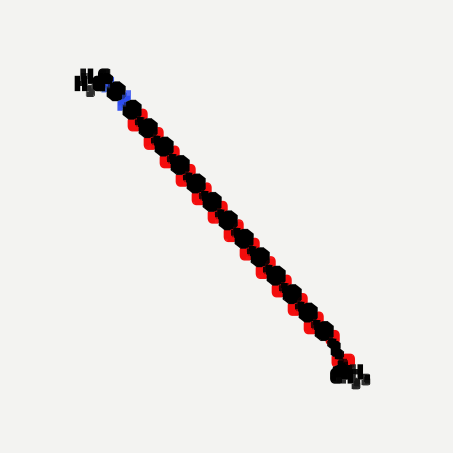 CCC(C)C(=O)OCCCCOc1ccc(C(=O)Oc2ccc(C(=O)Oc3ccc(C(=O)Oc4ccc(C(=O)Oc5ccc(C(=O)Oc6ccc(C(=O)Oc7ccc(C(=O)Oc8ccc(C(=O)Oc9ccc(C(=O)Oc%10ccc(C(=O)Oc%11ccc(C(=O)Oc%12ccc(C(=O)Oc%13ccc(N=Nc%14ccc(N(CC)CC)cc%14)cc%13)cc%12)cc%11)cc%10)cc9)cc8)cc7)cc6)cc5)cc4)cc3)cc2)cc1